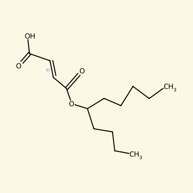 CCCCCC(CCCC)OC(=O)/C=C/C(=O)O